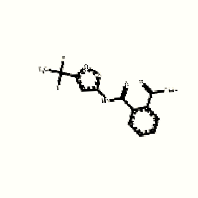 COC(=O)c1ccccc1C(=O)Nc1cc(C(F)(F)C(F)(F)F)on1